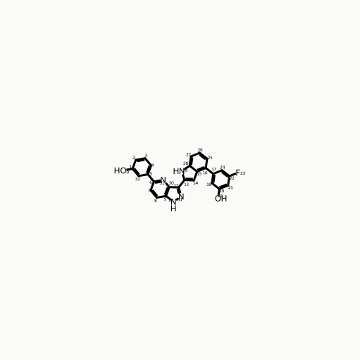 Oc1cccc(-c2ccc3[nH]nc(-c4cc5c(-c6cc(O)cc(F)c6)cccc5[nH]4)c3n2)c1